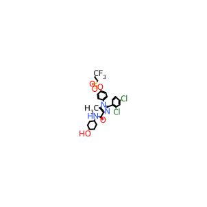 Cc1c(C(=O)NC2CCC(O)CC2)nc(-c2ccc(Cl)cc2Cl)n1-c1ccc(OS(=O)(=O)CCC(F)(F)F)cc1